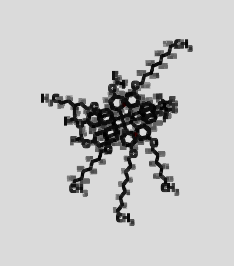 CCCCCCCCCCOc1ccc(C(C(Cc2ccc(OC(F)F)cc2)c2ccc(OCCCCCC)cc2)(C(Cc2ccc(OC(F)F)cc2)c2ccc(OCCCCCCC)cc2)C(c2ccc(OC(F)F)cc2)(C(Cc2ccc(OC(F)F)cc2)c2ccc(OCCCCCCCC)cc2)C(Cc2ccc(OC(F)F)cc2)c2ccc(OCCCCCCCCC)cc2)cc1